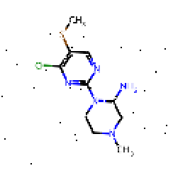 CSc1cnc(N2CCN(C)CC2N)nc1Cl